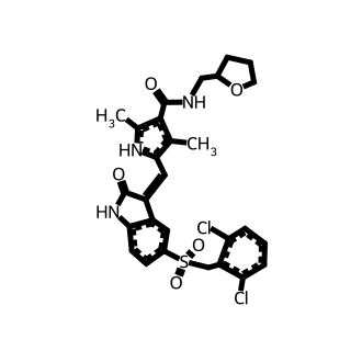 Cc1[nH]c(/C=C2\C(=O)Nc3ccc(S(=O)(=O)Cc4c(Cl)cccc4Cl)cc32)c(C)c1C(=O)NCC1CCCO1